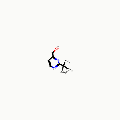 CC(C)(C(=O)O)c1nccc(CO)n1